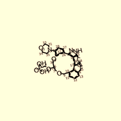 O=P(O)(O)CO[C@@H]1COCc2cccc(F)c2-c2cc3c(n[nH]c3cn2)-c2ccc(N3CCOCC3)c(c2)OC1